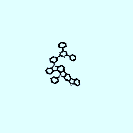 c1ccc(-c2cc(-c3ccccc3)nc(-c3cccc(-n4c5ccccc5c5c4ccc4c6cc7c(cc6n(-c6ccccc6)c45)oc4ccccc47)c3)n2)cc1